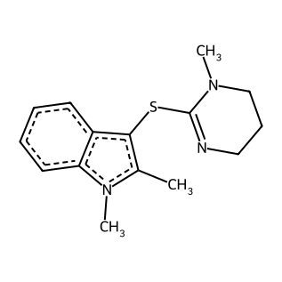 Cc1c(SC2=NCCCN2C)c2ccccc2n1C